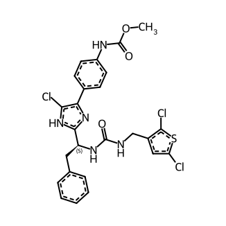 COC(=O)Nc1ccc(-c2nc([C@H](Cc3ccccc3)NC(=O)NCc3cc(Cl)sc3Cl)[nH]c2Cl)cc1